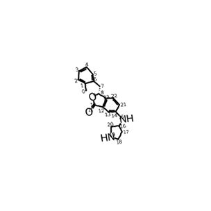 Cc1ccccc1C[C@H]1OC(=O)c2cc(NC3CCNC3)ccc21